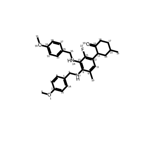 COc1ccc(CNc2c(C)cc(C3CC(C)CCC3=O)c(F)c2NCc2ccc(OC)cc2)cc1